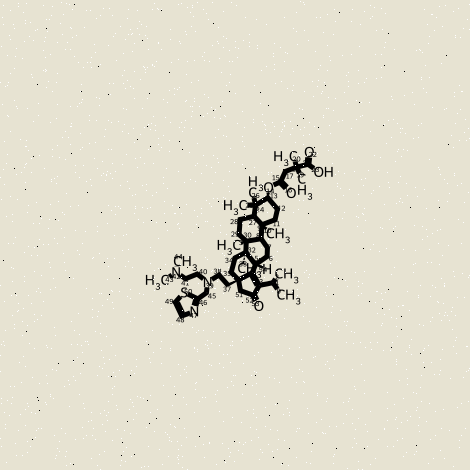 CC(C)C1=C2[C@H]3CCC4[C@@]5(C)CC[C@H](OC(=O)CC(C)(C)C(=O)O)C(C)(C)C5CC[C@@]4(C)[C@]3(C)CC[C@@]2(CCN(CCN(C)C)Cc2nccs2)CC1=O